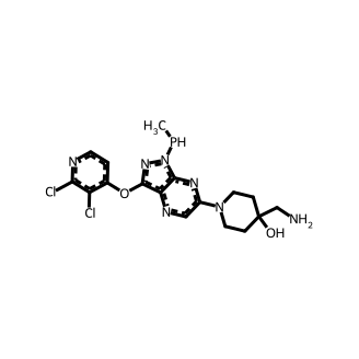 CPn1nc(Oc2ccnc(Cl)c2Cl)c2ncc(N3CCC(O)(CN)CC3)nc21